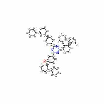 CC1(C)c2ccccc2-c2c(-c3nc(-c4ccc(-c5cccc(-c6ccccc6)c5)cc4)nc(-c4ccc5c(c4)oc4cccc(-c6ccccc6)c45)n3)cccc21